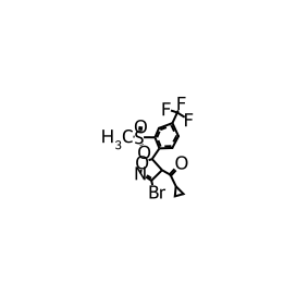 CS(=O)(=O)c1cc(C(F)(F)F)ccc1C1ON=C(Br)C1C(=O)C1CC1